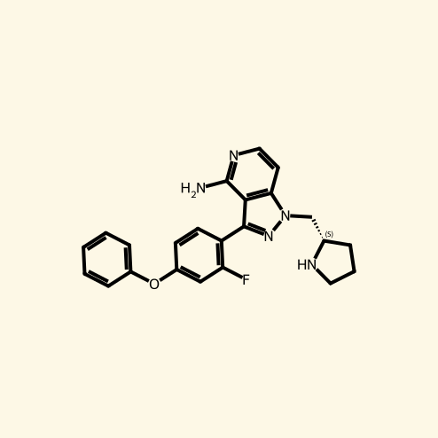 Nc1nccc2c1c(-c1ccc(Oc3ccccc3)cc1F)nn2C[C@@H]1CCCN1